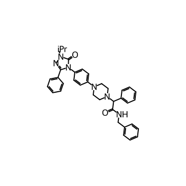 CC(C)n1nc(-c2ccccc2)n(-c2ccc(N3CCN(C(C(=O)NCc4ccccc4)c4ccccc4)CC3)cc2)c1=O